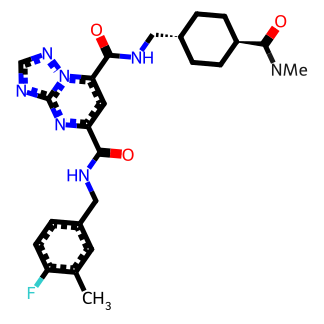 CNC(=O)[C@H]1CC[C@H](CNC(=O)c2cc(C(=O)NCc3ccc(F)c(C)c3)nc3ncnn23)CC1